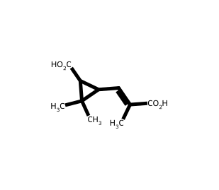 CC(=CC1C(C(=O)O)C1(C)C)C(=O)O